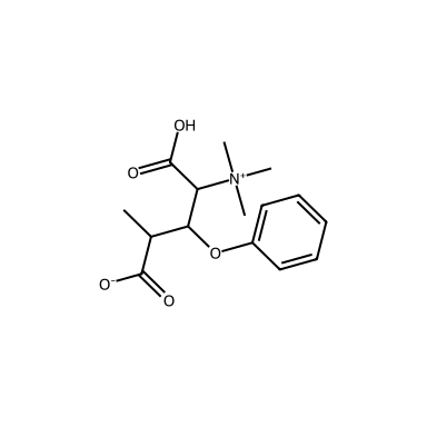 CC(C(=O)[O-])C(Oc1ccccc1)C(C(=O)O)[N+](C)(C)C